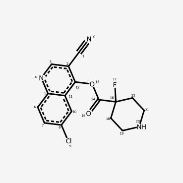 N#Cc1cnc2ccc(Cl)cc2c1OC(=O)C1(F)CCNCC1